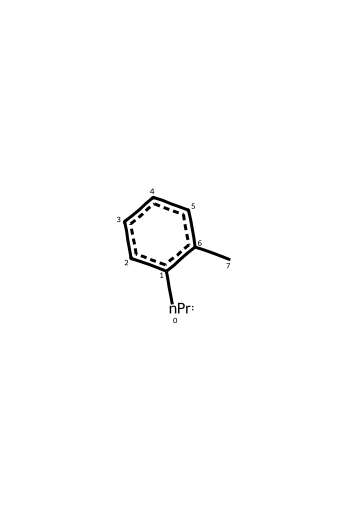 CC[C]c1ccccc1C